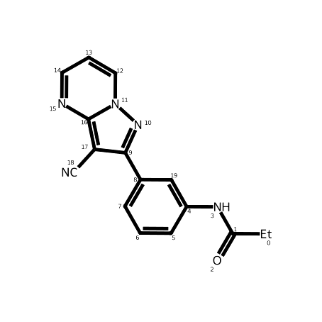 CCC(=O)Nc1cccc(-c2nn3cccnc3c2C#N)c1